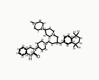 CN1CCN(C2CCN(CC(CCN3CCC(N4Cc5ccccc5NC4=O)CC3)Cc3ccc4c(c3)C(C)(C)CCC4(C)C)CC2)CC1